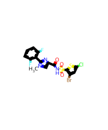 Cn1cc(C(=O)NS(=O)(=O)c2sc(Cl)cc2Br)nc1-c1c(F)cccc1F